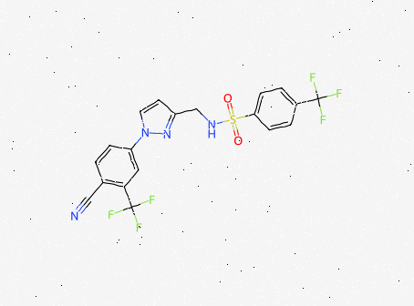 N#Cc1ccc(-n2ccc(CNS(=O)(=O)c3ccc(C(F)(F)F)cc3)n2)cc1C(F)(F)F